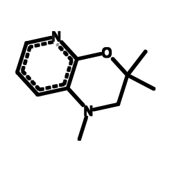 CN1CC(C)(C)Oc2ncccc21